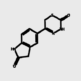 O=C1Cc2cc(C3=NNC(=O)SC3)ccc2N1